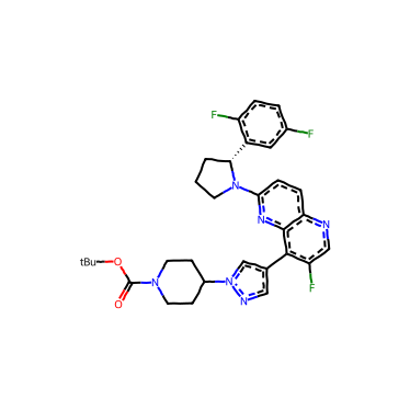 CC(C)(C)OC(=O)N1CCC(n2cc(-c3c(F)cnc4ccc(N5CCC[C@@H]5c5cc(F)ccc5F)nc34)cn2)CC1